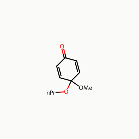 CCCOC1(OC)C=CC(=O)C=C1